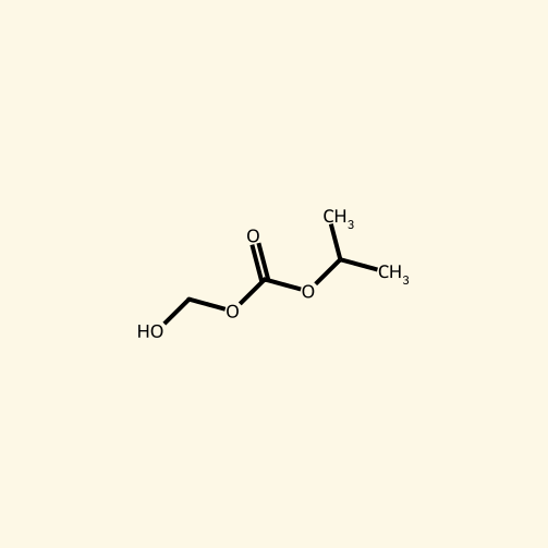 CC(C)OC(=O)OCO